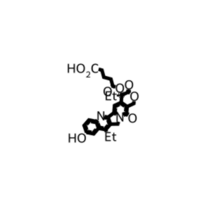 CCc1c2c(nc3ccc(O)cc13)-c1cc3c(c(=O)n1C2)COC(=O)[C@@]3(CC)OC(=O)CCCC(=O)O